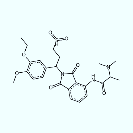 CCOc1cc(C(CC[SH](=O)=O)N2C(=O)c3cccc(NC(=O)C(C)N(C)C)c3C2=O)ccc1OC